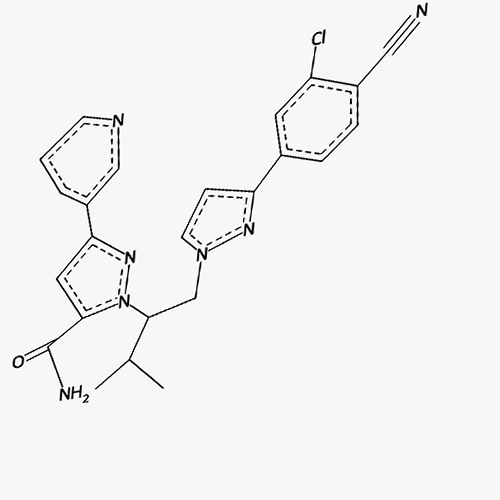 CC(C)C(Cn1ccc(-c2ccc(C#N)c(Cl)c2)n1)n1nc(-c2cccnc2)cc1C(N)=O